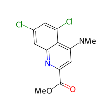 CNc1cc(C(=O)OC)nc2cc(Cl)cc(Cl)c12